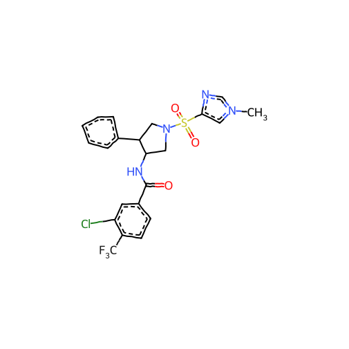 Cn1cnc(S(=O)(=O)N2CC(NC(=O)c3ccc(C(F)(F)F)c(Cl)c3)C(c3ccccc3)C2)c1